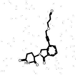 O=CCCOCC#Cc1cccc2c1CN(C1CCC(=O)NC1=O)C2=O